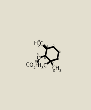 C=C1CCCC(C)(C)C1OC(=O)O